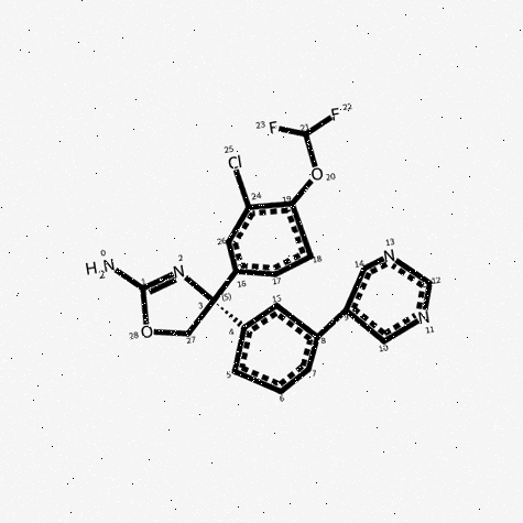 NC1=N[C@@](c2cccc(-c3cncnc3)c2)(c2ccc(OC(F)F)c(Cl)c2)CO1